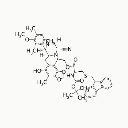 COc1c(C)cc2c(c1C)[C@H]1[C@@H]3Cc4c(O)c(C)c5c(c4[C@H](COC(=O)[C@@H](CSCC4c6ccccc6-c6ccccc64)NC(=O)OC(C)(C)C)N3[C@@H](C#N)[C@H](C2)N1C)OCO5